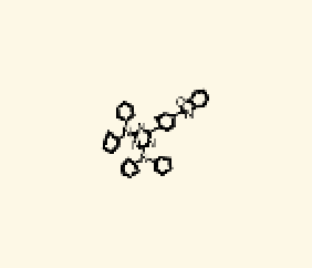 c1ccc(N(c2ccccc2)c2nc(-c3ccc(-c4nc5ccccc5o4)cc3)nc(N(c3ccccc3)c3ccccc3)n2)cc1